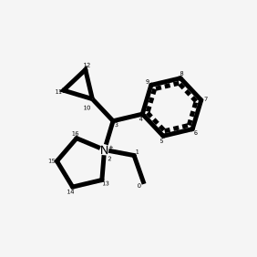 CC[N+]1(C(c2ccccc2)C2CC2)CCCC1